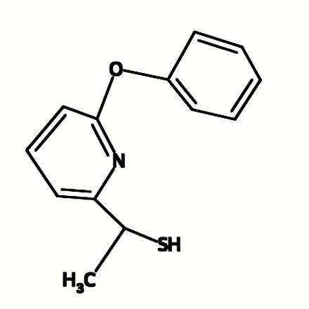 CC(S)c1cccc(Oc2ccccc2)n1